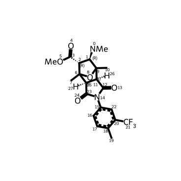 CN[C@@H]1[C@@H](C(=O)OC)C2(C)OC1(C)[C@H]1C(=O)N(c3ccc(C)c(C(F)(F)F)c3)C(=O)[C@H]12